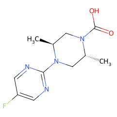 C[C@@H]1CN(c2ncc(F)cn2)[C@@H](C)CN1C(=O)O